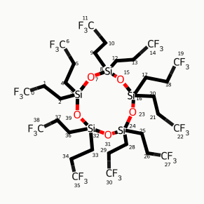 FC(F)(F)CC[Si]1(CCC(F)(F)F)O[Si](CCC(F)(F)F)(CCC(F)(F)F)O[Si](CCC(F)(F)F)(CCC(F)(F)F)O[Si](CCC(F)(F)F)(CCC(F)(F)F)O[Si](CCC(F)(F)F)(CCC(F)(F)F)O1